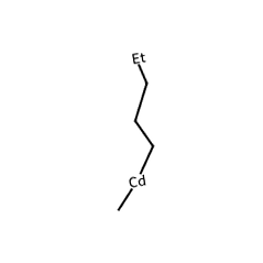 CCCC[CH2][Cd][CH3]